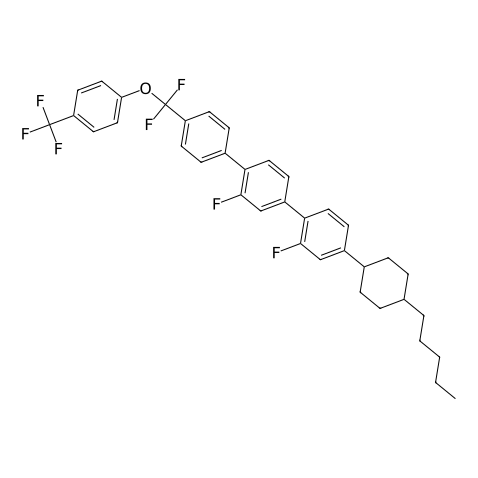 CCCCCC1CCC(c2ccc(-c3ccc(-c4ccc(C(F)(F)Oc5ccc(C(F)(F)F)cc5)cc4)c(F)c3)c(F)c2)CC1